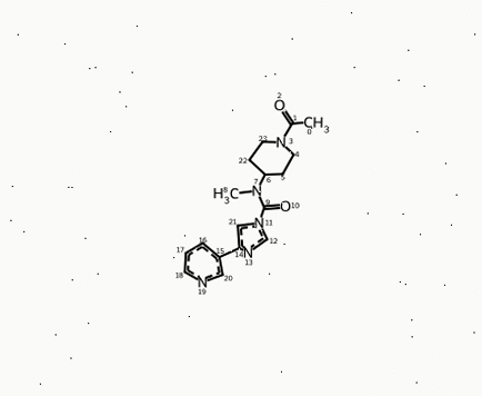 CC(=O)N1CCC(N(C)C(=O)n2cnc(-c3cccnc3)c2)CC1